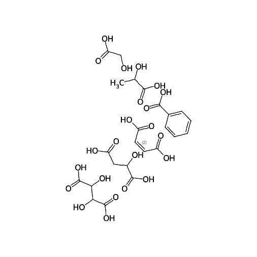 CC(O)C(=O)O.O=C(O)/C=C\C(=O)O.O=C(O)C(O)C(O)C(=O)O.O=C(O)CC(O)C(=O)O.O=C(O)CO.O=C(O)c1ccccc1